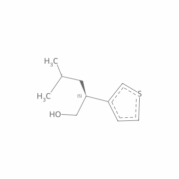 C[C](C)C[C@H](CO)c1ccsc1